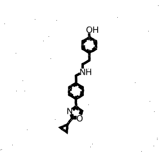 Oc1ccc(CCNCc2ccc(-c3coc(C4CC4)n3)cc2)cc1